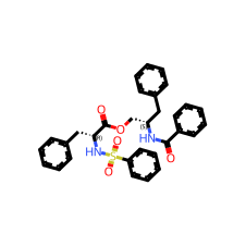 O=C(N[C@H](COC(=O)[C@@H](Cc1ccccc1)NS(=O)(=O)c1ccccc1)Cc1ccccc1)c1ccccc1